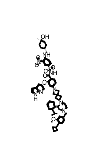 COc1cc(CN2CCN(C3CC4(C3)CN(c3ccc(C(=O)NS(=O)(=O)c5ccc(NC[C@H]6CC[C@](C)(O)CC6)c([N+](=O)[O-])c5)c(Oc5cnc6[nH]ccc6c5)c3)C4)[C@H](c3ccccc3C(C)C)C2)ccc1C1CCC1